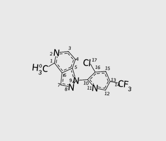 Cc1nccc2c1cnn2-c1ncc(C(F)(F)F)cc1Cl